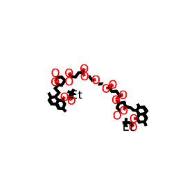 CCC(C)(C)C(=O)OC1CC(C)C=C2C=CC(C)C(CCC3CC(OC(=O)CCC(=O)OCCOCCOC(=O)CCC(=O)OC4CC(=O)OC(CCC5C(C)C=CC6=CC(C)CC(OC(=O)C(C)(C)CC)C65)C4)CC(=O)O3)C21